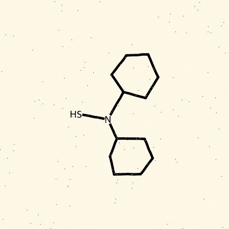 SN(C1CCCCC1)C1CCCCC1